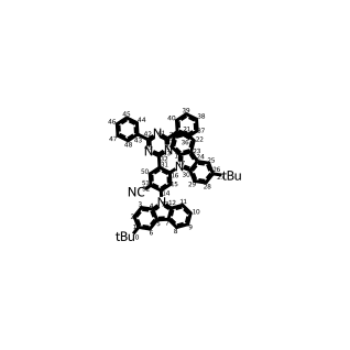 CC(C)(C)c1ccc2c(c1)c1ccccc1n2-c1cc(-n2c3ccccc3c3cc(C(C)(C)C)ccc32)c(-c2nc(-c3ccccc3)nc(-c3ccccc3)n2)cc1C#N